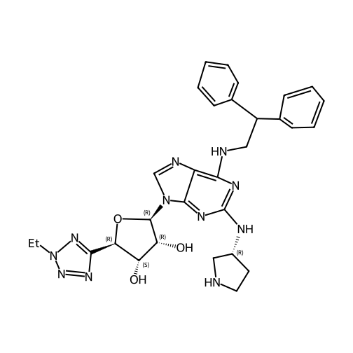 CCn1nnc([C@H]2O[C@@H](n3cnc4c(NCC(c5ccccc5)c5ccccc5)nc(N[C@@H]5CCNC5)nc43)[C@H](O)[C@@H]2O)n1